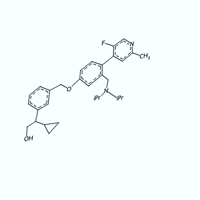 Cc1cc(-c2ccc(OCc3cccc(C(CO)C4CC4)c3)cc2CN(C(C)C)C(C)C)c(F)cn1